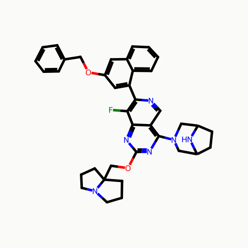 Fc1c(-c2cc(OCc3ccccc3)cc3ccccc23)ncc2c(N3CC4CCC(C3)N4)nc(OCC34CCCN3CCC4)nc12